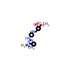 COC(=O)c1ccc(CN[C@H]2CC[C@@H](Nc3nc(N(C)C)c4ccccc4n3)CC2)cc1[N+](=O)[O-]